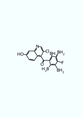 Bc1c(B)c(C(=O)c2c(Cl)cnc3cc(O)ccc23)c(B)c(B)c1F